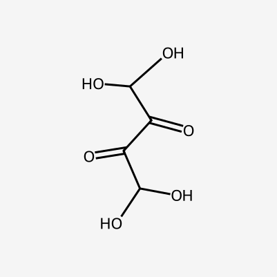 O=C(C(=O)C(O)O)C(O)O